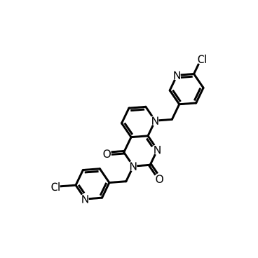 O=c1nc2n(Cc3ccc(Cl)nc3)cccc-2c(=O)n1Cc1ccc(Cl)nc1